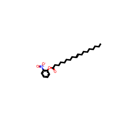 CCCCCCCC/C=C/CCCCCCCC(=O)Oc1ccccc1[N+](=O)[O-]